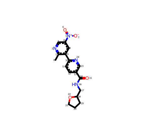 Cc1ncc([N+](=O)[O-])cc1-c1ccc(C(=O)NCC2CCCO2)cn1